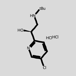 CC(C)(C)NC[C@H](O)c1ccc(Cl)cn1.Cl.Cl